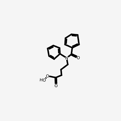 O=C(CCCN(C(=O)c1ccccc1)c1ccccc1)OO